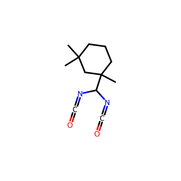 CC1(C)CCCC(C)(C(N=C=O)N=C=O)C1